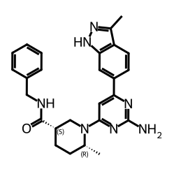 Cc1n[nH]c2cc(-c3cc(N4C[C@@H](C(=O)NCc5ccccc5)CC[C@H]4C)nc(N)n3)ccc12